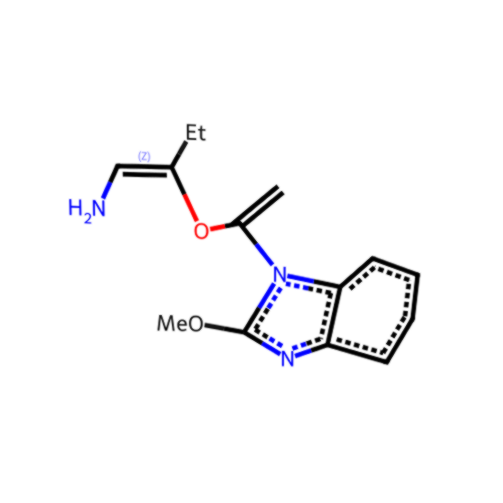 C=C(O/C(=C\N)CC)n1c(OC)nc2ccccc21